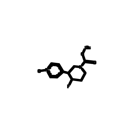 CC(C)(C)OC(=O)N1CCC(F)C(c2cc[n+]([O-])cc2)C1